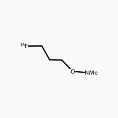 CNOCCC[18F]